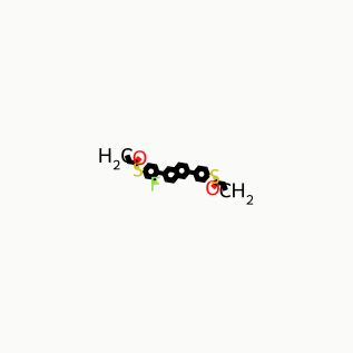 C=CC(=O)Sc1ccc(-c2ccc3cc(-c4ccc(SC(=O)C=C)cc4F)ccc3c2)cc1